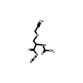 C#CCOCC(NC(C)=O)C(=O)N=[N+]=[N-]